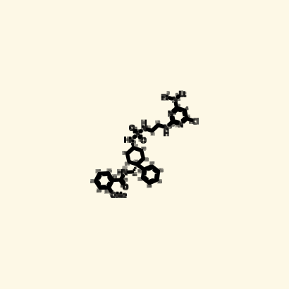 CCN(CC)c1cc(Cl)nc(NCCNS(=O)(=O)N[C@H]2CC[C@](CNC(=O)c3ccccc3OC)(c3ccccc3)CC2)n1